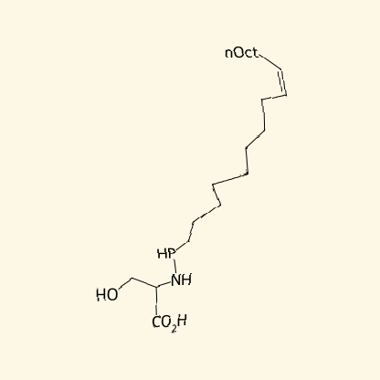 CCCCCCCC/C=C\CCCCCCCCPNC(CO)C(=O)O